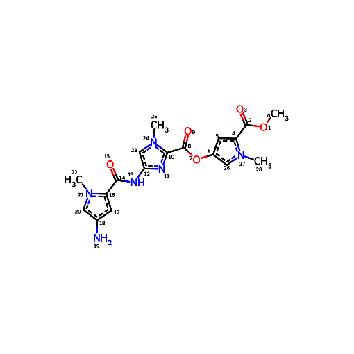 COC(=O)c1cc(OC(=O)c2nc(NC(=O)c3cc(N)cn3C)cn2C)cn1C